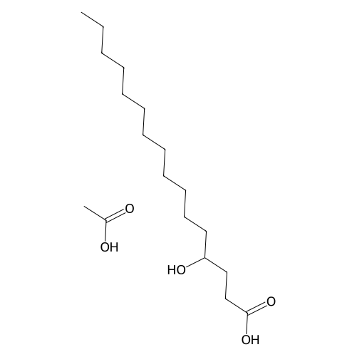 CC(=O)O.CCCCCCCCCCCCC(O)CCC(=O)O